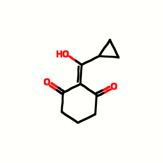 O=C1CCCC(=O)C1=C(O)C1CC1